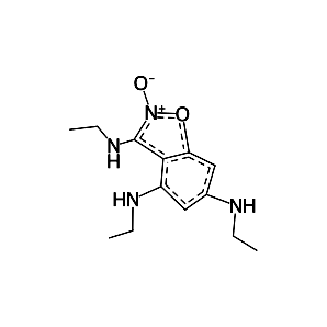 CCNc1cc(NCC)c2c(NCC)[n+]([O-])oc2c1